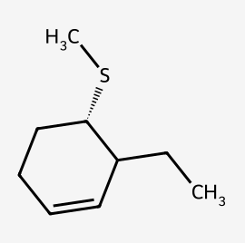 CCC1C=CCC[C@@H]1SC